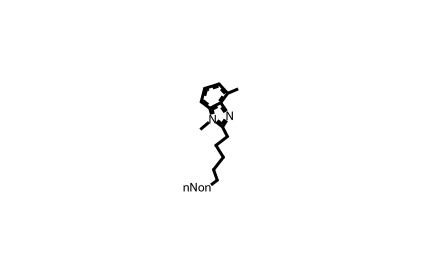 CCCCCCCCCCCCCCc1nc2c(C)cccc2n1C